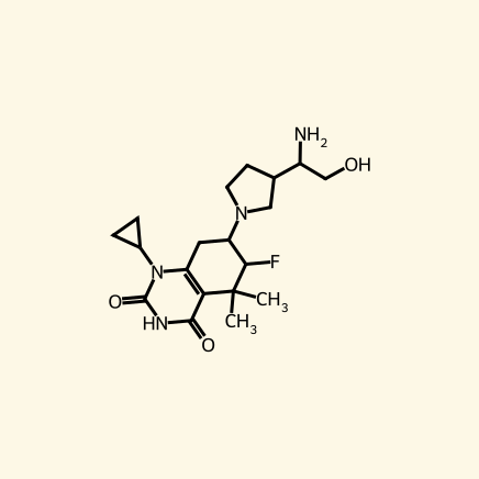 CC1(C)c2c(n(C3CC3)c(=O)[nH]c2=O)CC(N2CCC(C(N)CO)C2)C1F